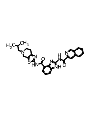 CC(C)CN1CCc2nc(NC(=O)c3cccc4[nH]c(NC(=O)c5cc6ccccc6cn5)nc34)sc2C1